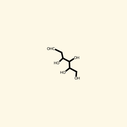 O=CCC(O)C(O)C(O)CO